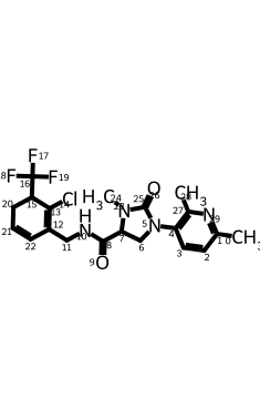 Cc1ccc(N2CC(C(=O)NCC3=C(Cl)C(C(F)(F)F)CC=C3)N(C)C2=O)c(C)n1